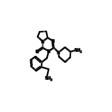 NCc1ccccc1CN1C(=O)N2CCCC2N=C1N1CCCC(N)C1